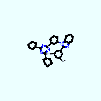 CC(C)c1cc(-c2nc3ccccc3n2-c2cccc(-c3nc(-c4ccccc4)nc(-c4ccccc4)n3)c2)cc(C(C)C)c1